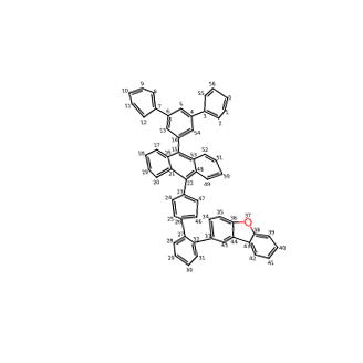 c1ccc(-c2cc(-c3ccccc3)cc(-c3c4ccccc4c(-c4ccc(-c5ccccc5-c5ccc6oc7ccccc7c6c5)cc4)c4ccccc34)c2)cc1